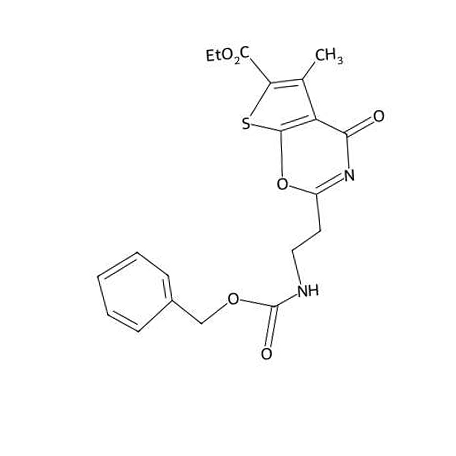 CCOC(=O)c1sc2oc(CCNC(=O)OCc3ccccc3)nc(=O)c2c1C